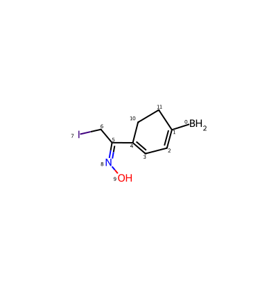 BC1=CC=C(/C(CI)=N\O)CC1